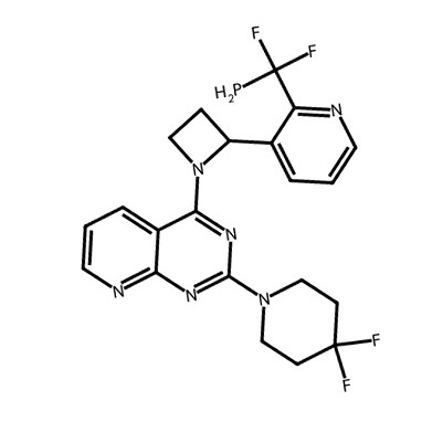 FC1(F)CCN(c2nc(N3CCC3c3cccnc3C(F)(F)P)c3cccnc3n2)CC1